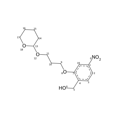 O=[N+]([O-])c1ccc(CO)c(OCCCOC2CCCCO2)c1